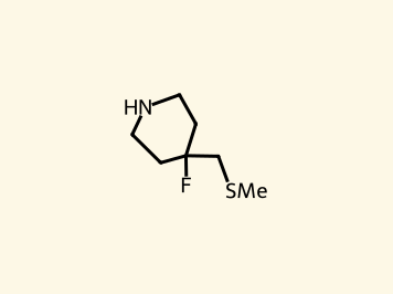 CSCC1(F)CCNCC1